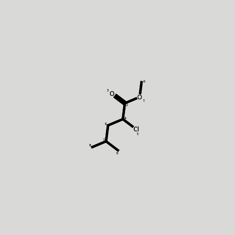 COC(=O)C(Cl)CC(C)C